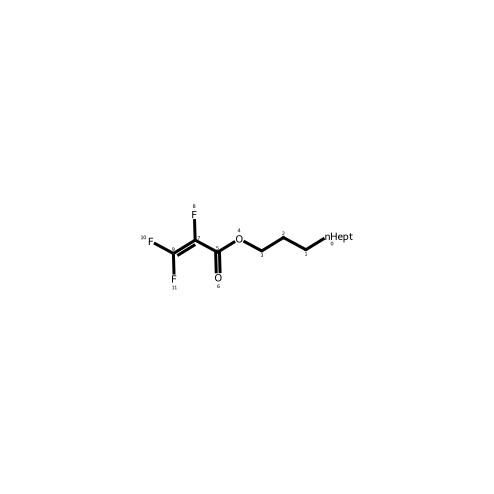 CCCCCCCCCCOC(=O)C(F)=C(F)F